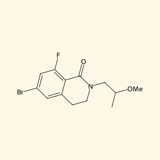 COC(C)CN1CCc2cc(Br)cc(F)c2C1=O